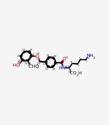 NCCCC[C@H](NC(=O)c1ccc(COc2cccc(O)c2C=O)cc1)C(=O)O